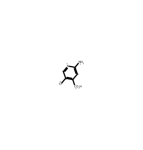 Nc1cc(C(=O)O)c(Cl)cn1